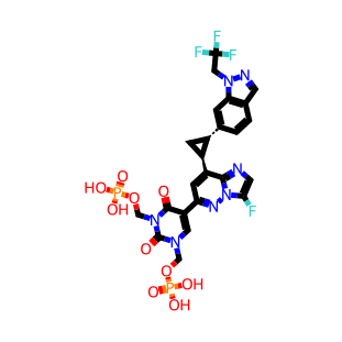 O=c1c(-c2cc([C@H]3C[C@@H]3c3ccc4cnn(CC(F)(F)F)c4c3)c3ncc(F)n3n2)cn(COP(=O)(O)O)c(=O)n1COP(=O)(O)O